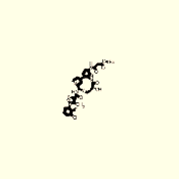 Cc1c(C(=O)N[C@H]2CCC[C@@H](C)C(=O)Nc3cc(NC(=O)CC(=O)OC(C)(C)C)ccc3-c3ccnc2c3)nnn1-c1cccc(Cl)c1F